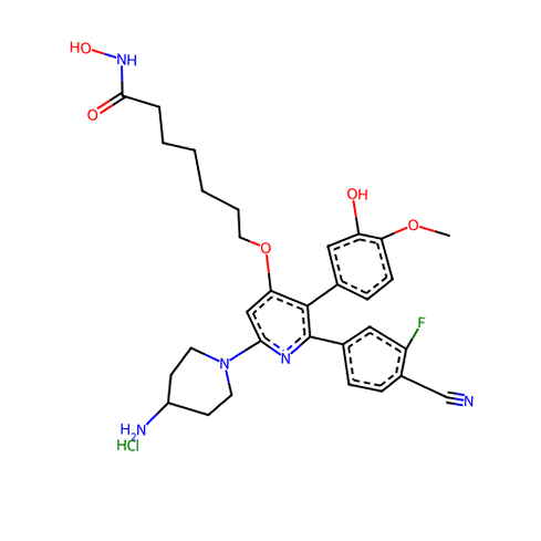 COc1ccc(-c2c(OCCCCCCC(=O)NO)cc(N3CCC(N)CC3)nc2-c2ccc(C#N)c(F)c2)cc1O.Cl